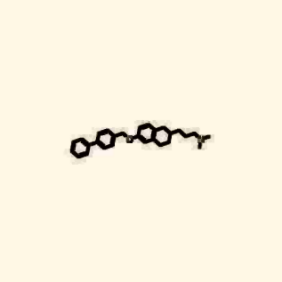 CN(C)CCCC1CCc2cc(OCc3ccc(-c4ccccc4)cc3)ccc2C1